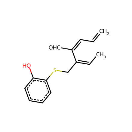 C=C/C=C(C=O)\C(=C/C)CSc1ccccc1O